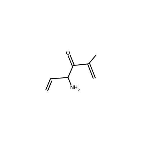 C=CC(N)C(=O)C(=C)C